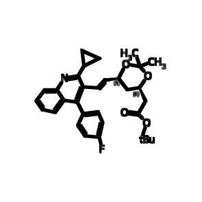 CC(C)(C)OC(=O)C[C@H]1C[C@@H](C=Cc2c(C3CC3)nc3ccccc3c2-c2ccc(F)cc2)OC(C)(C)O1